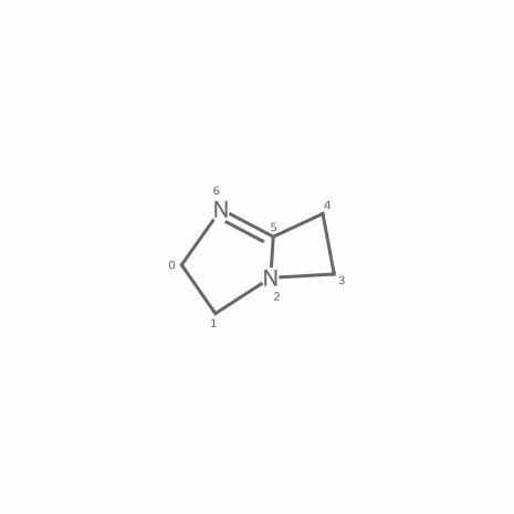 C1CN2CCC2=N1